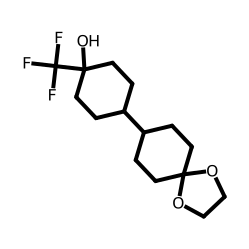 OC1(C(F)(F)F)CCC(C2CCC3(CC2)OCCO3)CC1